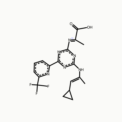 CC(=CC1CC1)Nc1nc(/N=C(\C)C(=O)O)nc(-c2cccc(C(F)(F)F)n2)n1